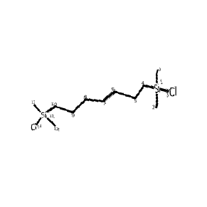 C[Si](C)(Cl)CCCCCCC[Si](C)(C)Cl